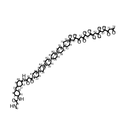 CNCC(=O)NC1CCC(CC2CCC(NC(=O)CC(=O)N3CCN(N4CCN(N5CCN(N6CCN(N7CCN(N8CCN(C(=O)CC(=O)C(=O)CC(=O)C(=O)CC(=O)C(=O)CC(=O)C(=O)CC(=O)C(=O)CC(C)=O)CC8)CC7)CC6)CC5)CC4)CC3)CC2)CC1